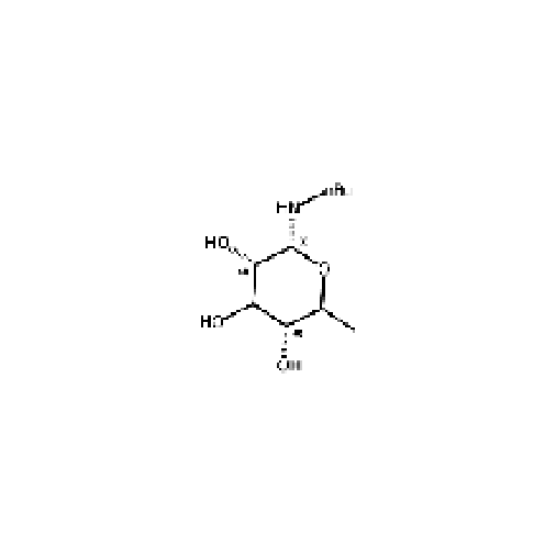 CCCCN[C@@H]1OC(C)[C@H](O)C(O)[C@@H]1O